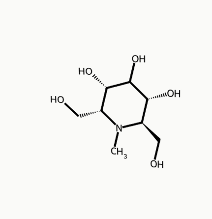 CN1[C@H](CO)[C@H](O)C(O)[C@H](O)[C@H]1CO